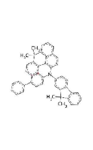 CC1(C)c2ccccc2-c2ccc(N(c3ccc(-c4ccccc4)cc3)c3ccc4cccc5c4c3-c3ccccc3C5(C)C)cc21